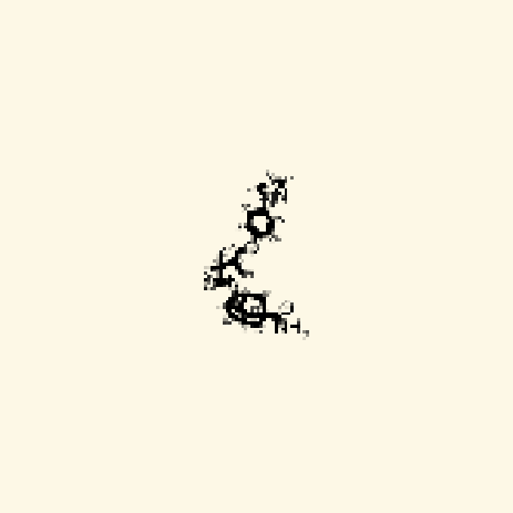 CC1(C)C(=O)N(C2C3CC4CC2CC(C(N)=O)(C4)C3)CC1COc1ccc(-n2cncn2)cc1